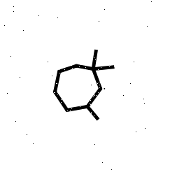 CC1[CH]C(C)(C)CCCC1